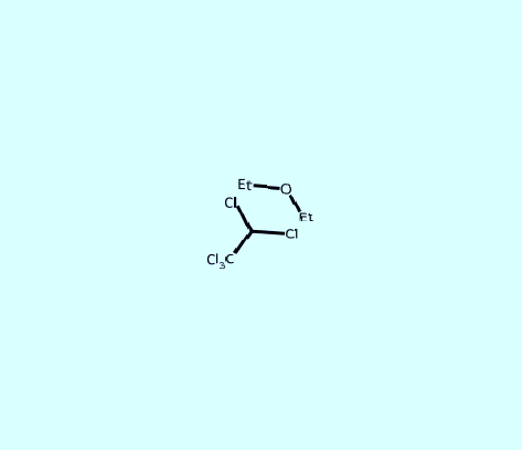 CCOCC.ClC(Cl)C(Cl)(Cl)Cl